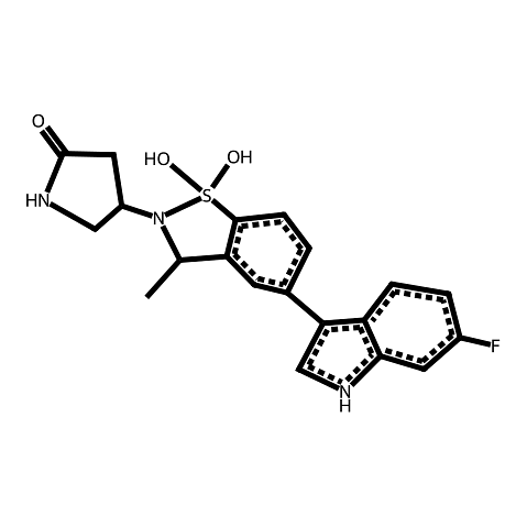 CC1c2cc(-c3c[nH]c4cc(F)ccc34)ccc2S(O)(O)N1C1CNC(=O)C1